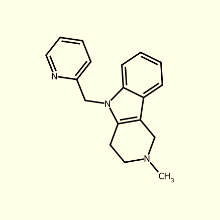 CN1CCc2c(c3ccccc3n2Cc2ccccn2)C1